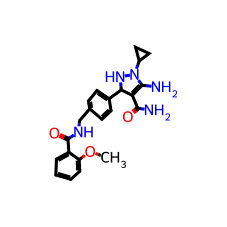 COc1ccccc1C(=O)NCc1ccc(C2NN(C3CC3)C(N)=C2C(N)=O)cc1